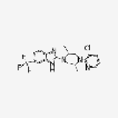 CC1CN(c2ncccc2Cl)C(C)CN1c1nc2ccc(C(F)(F)F)cc2[nH]1